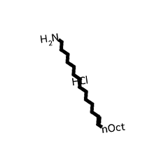 CCCCCCCCC=CCCCCCCCCCCCCN.Cl